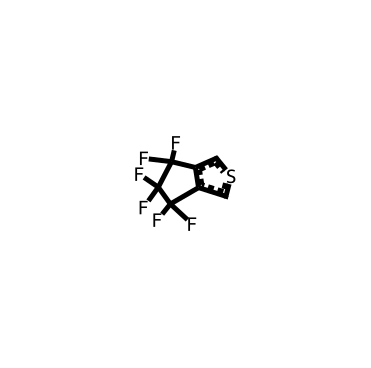 FC1(F)c2cscc2C(F)(F)C1(F)F